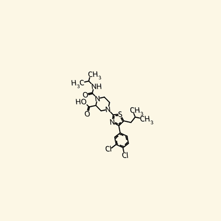 CC(C)Cc1sc(N2CCN(C(=O)NC(C)C)C(C(=O)O)C2)nc1-c1ccc(Cl)c(Cl)c1